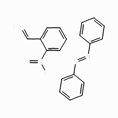 C=Cc1ccccc1[N+](=O)[O-].c1ccc(N=Nc2ccccc2)cc1